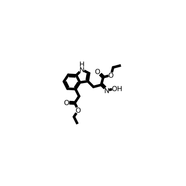 CCOC(=O)Cc1cccc2[nH]cc(C/C(=N/O)C(=O)OCC)c12